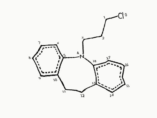 ClCCCN1c2ccccc2CCc2ccccc21